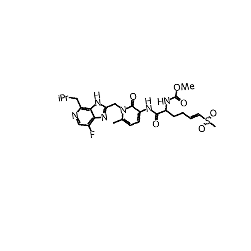 COC(=O)NC(CC/C=C/S(C)(=O)=O)C(=O)Nc1ccc(C)n(Cc2nc3c(F)cnc(CC(C)C)c3[nH]2)c1=O